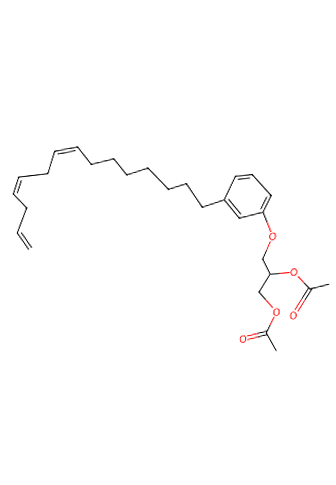 C=CC/C=C\C/C=C\CCCCCCCc1cccc(OCC(COC(C)=O)OC(C)=O)c1